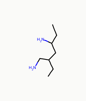 CCC(N)CC(CC)CN